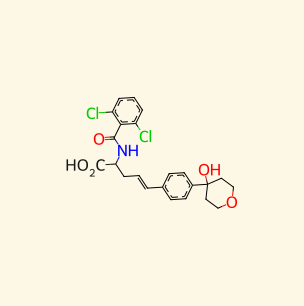 O=C(NC(C/C=C/c1ccc(C2(O)CCOCC2)cc1)C(=O)O)c1c(Cl)cccc1Cl